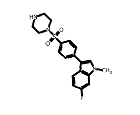 Cn1cc(-c2ccc(S(=O)(=O)N3CCNCC3)cc2)c2ccc(F)cc21